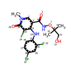 Cn1cc(C(=O)NOC(C)(C)CO)c(Nc2ccc(Br)cc2F)c(F)c1=O